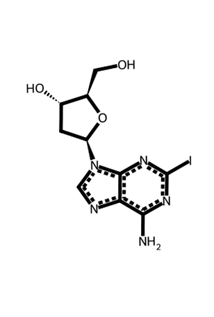 Nc1nc(I)nc2c1ncn2[C@H]1C[C@H](O)[C@@H](CO)O1